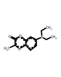 CCN(CC)c1ccc2nc(C)c(=O)oc2c1